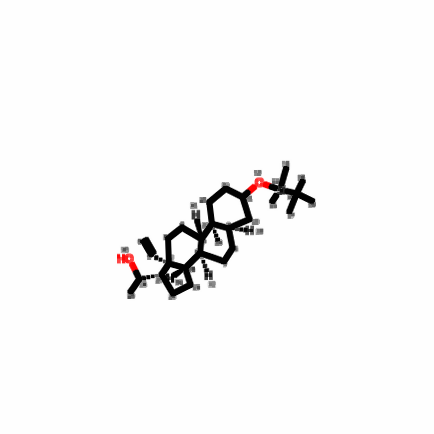 C=C[C@]12CC[C@H]3[C@@H](CC[C@@H]4CC(O[Si](C)(C)C(C)(C)C)CC[C@@]43C)[C@@H]1CC[C@@H]2C(C)O